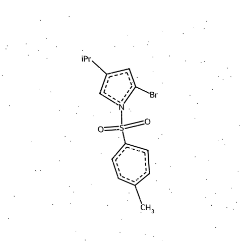 Cc1ccc(S(=O)(=O)n2cc(C(C)C)cc2Br)cc1